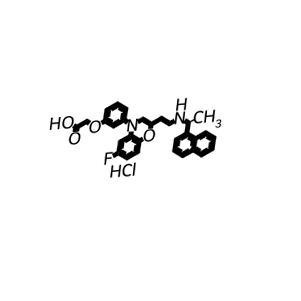 C[C@@H](NCCC1CN(c2cccc(OCC(=O)O)c2)c2cc(F)ccc2O1)c1cccc2ccccc12.Cl